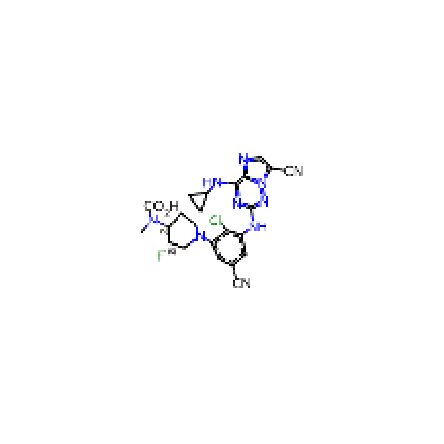 CN(C(=O)O)[C@H]1CCN(c2cc(C#N)cc(Nc3nc(NC4CC4)c4ncc(C#N)n4n3)c2Cl)C[C@@H]1F